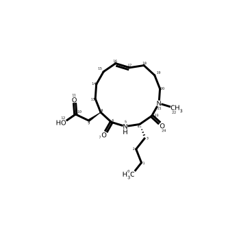 CCCC[C@@H]1NC(=O)[C@@H](CC(=O)O)CCC/C=C/CCCN(C)C1=O